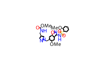 COC(=O)NCc1cnn(Cc2cc3onc(NS(=O)(=O)c4ccccc4OC)c3cc2OC)c1